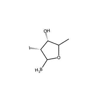 BC1OC(C)[C@@H](O)[C@H]1I